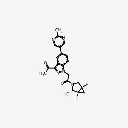 CC(=O)c1nn(CC(=O)N2C[C@@H]3C[C@@H]3[C@@H]2C)c2ccc(-c3cnc(C)nc3)cc12